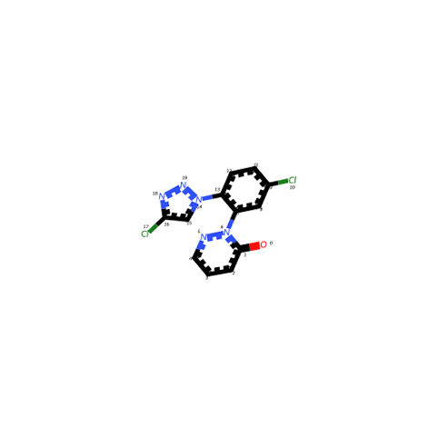 O=c1cccnn1-c1cc(Cl)ccc1-n1cc(Cl)nn1